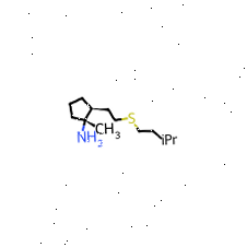 CC(C)CCSCC[C@@H]1CCC[C@@]1(C)N